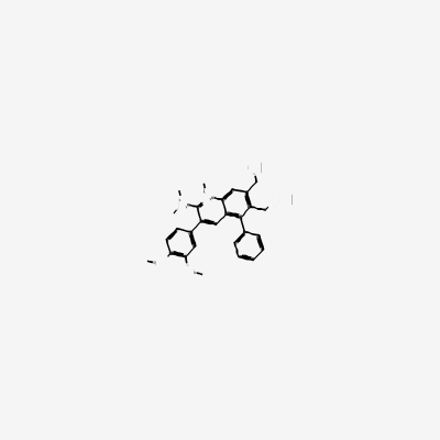 COc1ccc(-c2cc3c(-c4ccccc4)c(CO)c(CO)cc3[n+](C)c2N(C)C)cc1OC